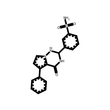 NS(=O)(=O)c1cccc(C2NC(=O)c3c(-c4ccccc4)ccn3N2)c1